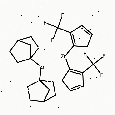 C1C[C]2([Zr][C]34CCC(CC3)C4)CCC1C2.FC(F)(F)C1=[C]([Zr][C]2=C(C(F)(F)F)C=CC2)CC=C1